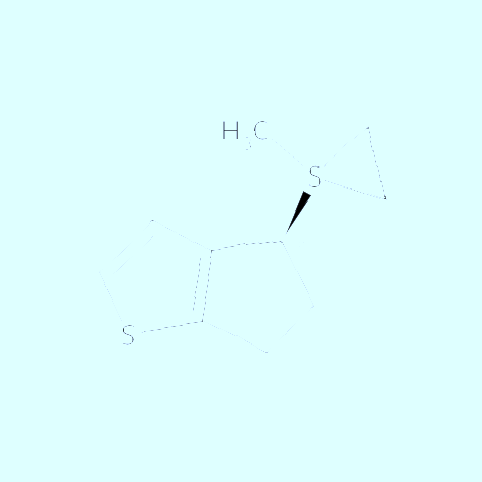 CS1([C@H]2CCc3sccc32)CC1